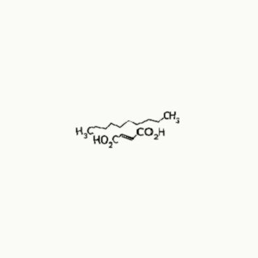 CCCCCCCCCC.O=C(O)/C=C/C(=O)O